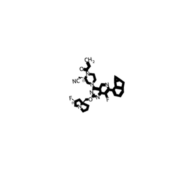 C=CC(=O)N1CCN(c2nc(OC[C@@]34CCCN3C[C@H](F)C4)nc3c(F)c(-c4cccc5c4C4CC4C5)ncc23)C[C@@H]1CC#N